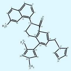 Cc1ccc2cncc(N3CCc4c(cc(Cn5ccnc5)cc4-c4cn(C)nc4C(F)(F)F)C3=O)c2c1